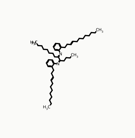 CCCCCCCC/C=C/CCc1ccccc1/N=C(CCCC)\C(CCCCCCCC)=N\c1ccccc1CC/C=C/CCCCCCCC.[Pd]